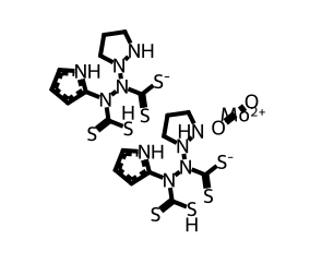 S=C(S)N(c1ccc[nH]1)N(C(=S)[S-])N1CCCN1.S=C(S)N(c1ccc[nH]1)N(C(=S)[S-])N1CCCN1.[O]=[Mo+2]=[O]